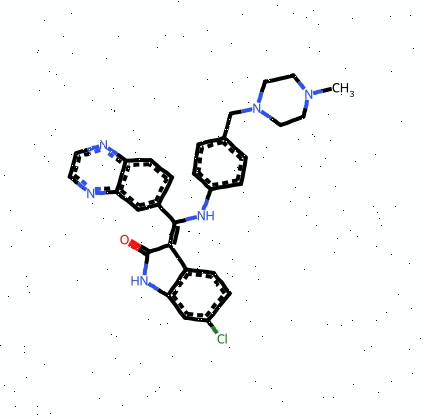 CN1CCN(Cc2ccc(NC(=C3C(=O)Nc4cc(Cl)ccc43)c3ccc4nccnc4c3)cc2)CC1